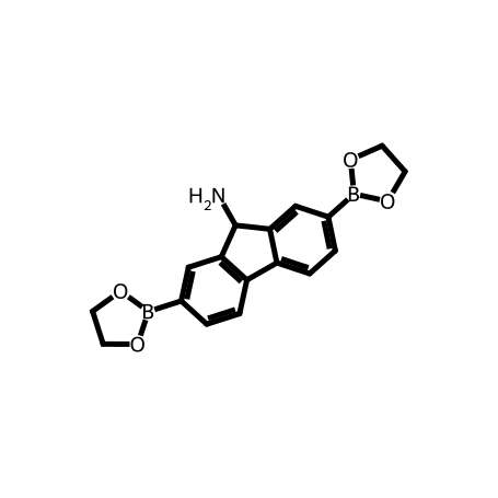 NC1c2cc(B3OCCO3)ccc2-c2ccc(B3OCCO3)cc21